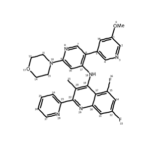 COc1cncc(-c2cnc(N3CCOCC3)cc2Nc2c(C)c(-c3ccccn3)nc3cc(F)cc(F)c23)c1